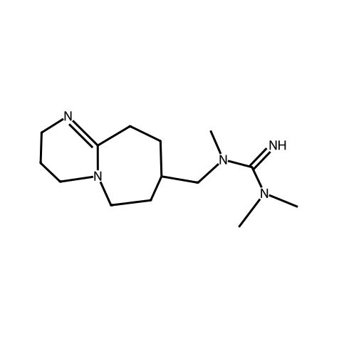 CN(C)C(=N)N(C)CC1CCC2=NCCCN2CC1